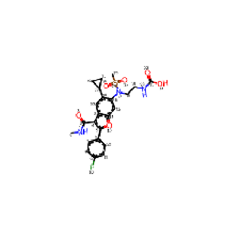 CNC(=O)c1c(-c2ccc(F)cc2)oc2cc(N(CCNC(=O)O)S(C)(=O)=O)c(C3CC3)cc12